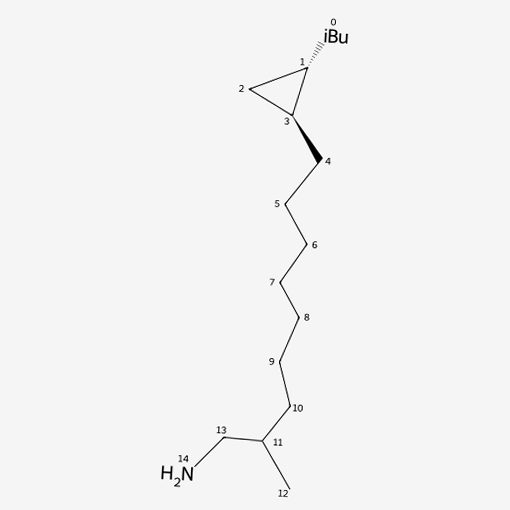 CCC(C)[C@H]1C[C@@H]1CCCCCCCC(C)CN